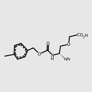 CCC[C@@H](COCC(=O)O)NC(=O)OCc1ccc(C)cc1